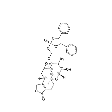 CC(C)C1[C@@H](O)[C@@H]2O[C@@]23[C@@]2(C)CCC4=C(COC4=O)[C@@H]2CC2O[C@@]23[C@@H]1OCOP(=O)(OCc1ccccc1)OCc1ccccc1